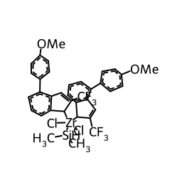 COc1ccc(-c2cccc3c2C=C(C(F)(F)F)[CH]3[Zr]([Cl])([Cl])([CH]2C(C(F)(F)F)=Cc3c(-c4ccc(OC)cc4)cccc32)[SiH](C)C)cc1